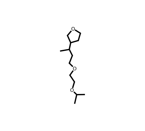 CC(C)OCCOCCC(C)C1CCOC1